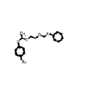 CCC(C)c1ccc(OC(C)OCCOCOc2ccccc2)cc1